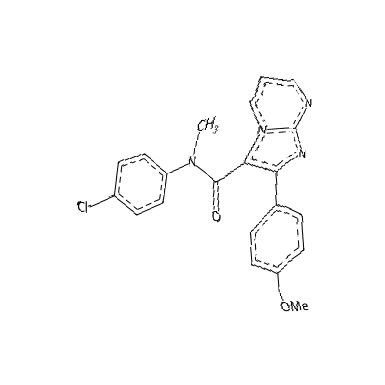 COc1ccc(-c2nc3ncccn3c2C(=O)N(C)c2ccc(Cl)cc2)cc1